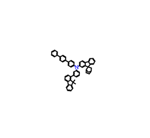 CC1(C)c2ccccc2-c2cccc(-c3cccc(N(c4ccc(-c5ccc(-c6ccccc6)cc5)cc4)c4ccc5c(c4)C4(CC6CCC4C6)c4ccccc4-5)c3)c21